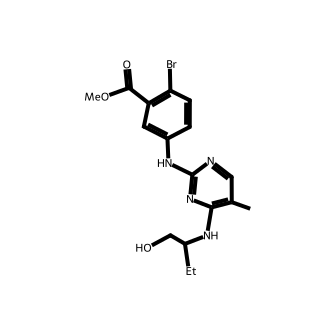 CCC(CO)Nc1nc(Nc2ccc(Br)c(C(=O)OC)c2)ncc1C